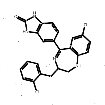 O=c1[nH]c2ccc(C3=NC(Cc4ccccc4Cl)CNc4ccc(Cl)cc43)cc2[nH]1